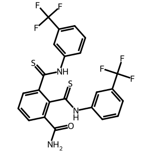 NC(=O)c1cccc(C(=S)Nc2cccc(C(F)(F)F)c2)c1C(=S)Nc1cccc(C(F)(F)F)c1